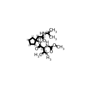 COC(=O)N[C@H](C(=O)NC1(CC(=O)NC(C)C)CCCC1)C(C)C